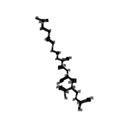 CNCCOCCOCC(=O)NCC(=O)NC(CCC(C)=O)C(C)=O